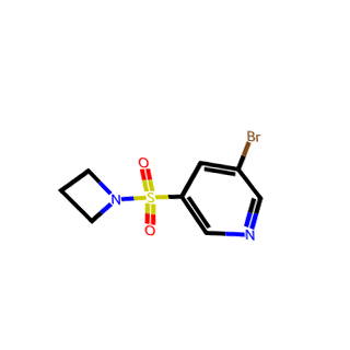 O=S(=O)(c1cncc(Br)c1)N1CCC1